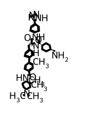 Cc1cc(C(=O)NC2CCC(N(C)C)CC2(C)C)ccc1-c1ccc(C[C@H](NC(=O)[C@H]2CC[C@H](CN)CC2)C(=O)Nc2ccc(-c3nnn[nH]3)cc2)cc1